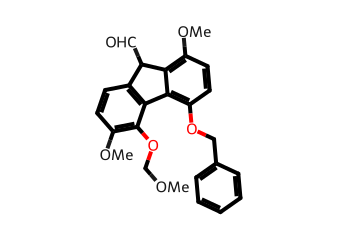 COCOc1c(OC)ccc2c1-c1c(OCc3ccccc3)ccc(OC)c1C2C=O